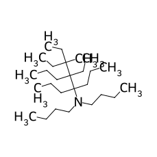 CCCCN(CCCC)C(CCC)(CCC)C(CC)(CCC)C(C)(CC)CC